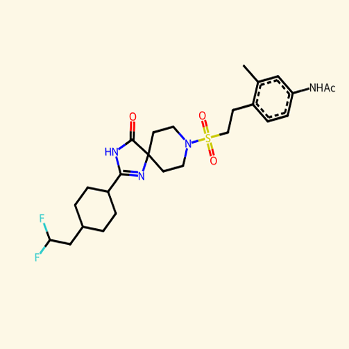 CC(=O)Nc1ccc(CCS(=O)(=O)N2CCC3(CC2)N=C(C2CCC(CC(F)F)CC2)NC3=O)c(C)c1